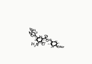 BC1=NOC(c2cc(N)c(Cl)c(C(=O)OCc3ccc(OC)cc3)n2)C1